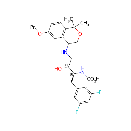 CC(C)Oc1ccc2c(c1)C(NC[C@@H](O)[C@H](Cc1cc(F)cc(F)c1)NC(=O)O)COC2(C)C